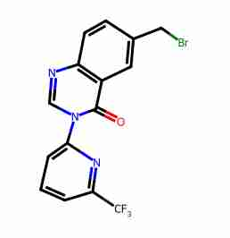 O=c1c2cc(CBr)ccc2ncn1-c1cccc(C(F)(F)F)n1